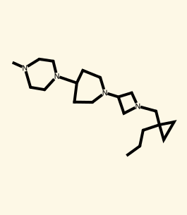 CCCC1(CN2CC(N3CCC(N4CCN(C)CC4)CC3)C2)CC1